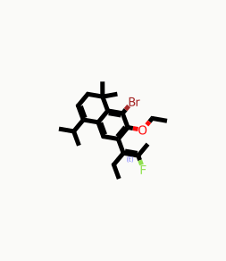 CCOc1c(/C(CC)=C(\C)F)cc2c(c1Br)C(C)(C)CC=C2C(C)C